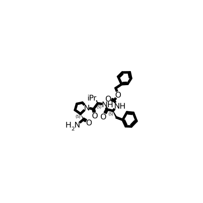 CC(C)[C@H](NC(=O)[C@H](Cc1ccccc1)NC(=O)OCc1ccccc1)C(=O)N1CCC[C@H]1C(N)=O